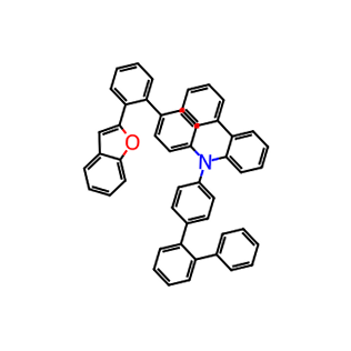 c1ccc(-c2ccccc2-c2ccc(N(c3ccc(-c4ccccc4-c4cc5ccccc5o4)cc3)c3ccccc3-c3ccccc3)cc2)cc1